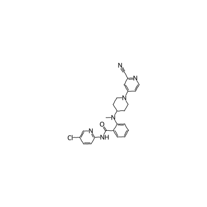 CN(c1ccccc1C(=O)Nc1ccc(Cl)cn1)C1CCN(c2ccnc(C#N)c2)CC1